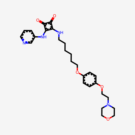 O=c1c(NCCCCCCOc2ccc(OCCN3CCOCC3)cc2)c(Nc2cccnc2)c1=O